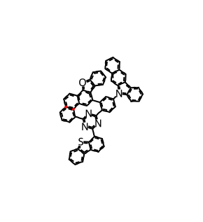 c1ccc(-c2nc(-c3ccc(-n4c5ccccc5c5cc6ccccc6cc54)cc3-c3cc4ccccc4c4oc5ccccc5c34)nc(-c3cccc4c3sc3ccccc34)n2)cc1